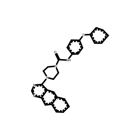 O=C(Nc1ccc(Oc2ccccc2)cc1)N1CCN(c2ncnc3cc4ccccc4cc23)CC1